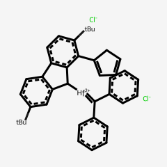 CC(C)(C)c1ccc2c(c1)[CH]([Hf+2]=[C](c1ccccc1)c1ccccc1)c1c-2ccc(C(C)(C)C)c1C1=CC=CC1.[Cl-].[Cl-]